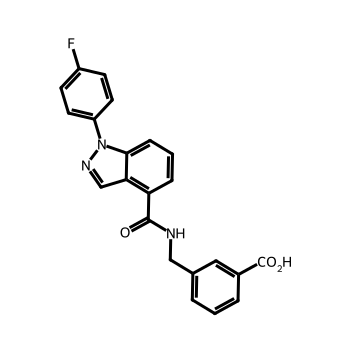 O=C(O)c1cccc(CNC(=O)c2cccc3c2cnn3-c2ccc(F)cc2)c1